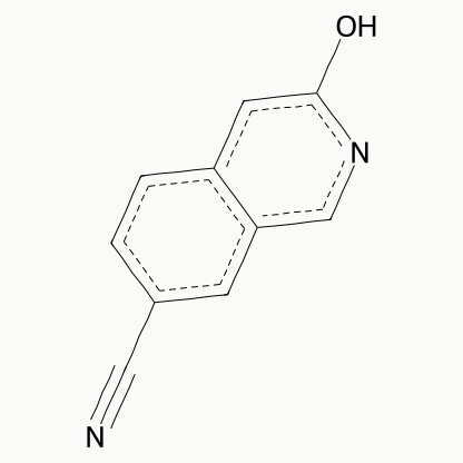 N#Cc1ccc2cc(O)ncc2c1